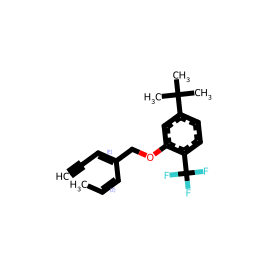 C#C/C=C(\C=C/C)COc1cc(C(C)(C)C)ccc1C(F)(F)F